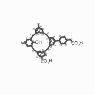 Cc1cc2c(O)c(c1)Cc1cc(C(=O)O)cc(c1O)Cc1cc(-c3ccc(CC(=O)O)cc3)cc(c1O)Cc1cc(C)cc(c1O)C2